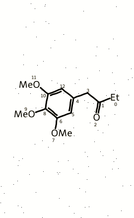 CCC(=O)Cc1cc(OC)c(OC)c(OC)c1